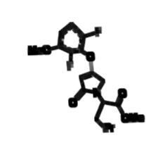 COC(=O)C(CC(C)C)N1CC(Oc2c(F)ccc(OC)c2F)=CC1=O